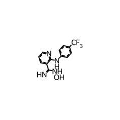 N=C(NO)c1cccnc1Nc1ccc(C(F)(F)F)cc1